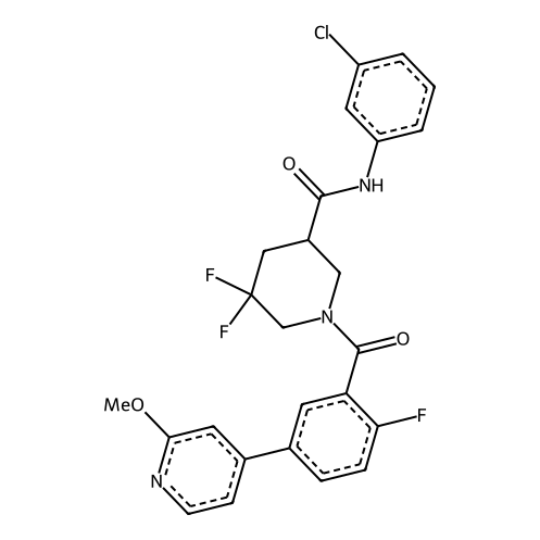 COc1cc(-c2ccc(F)c(C(=O)N3CC(C(=O)Nc4cccc(Cl)c4)CC(F)(F)C3)c2)ccn1